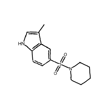 Cc1c[nH]c2ccc(S(=O)(=O)N3CCCCC3)cc12